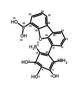 Bc1c(O)c(O)c(O)c(B)c1-c1cccc2c1oc1c(B(O)O)cccc12